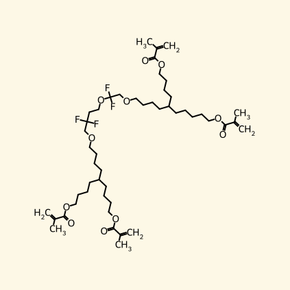 C=C(C)C(=O)OCCCCCC(CCCCOCC(F)(F)OCCC(F)(F)COCCCCC(CCCCOC(=O)C(=C)C)CCCCOC(=O)C(=C)C)CCCCOC(=O)C(=C)C